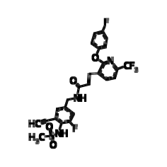 C#Cc1cc(CNC(=O)C=Cc2ccc(C(F)(F)F)nc2Oc2ccc(F)cc2)cc(F)c1NS(C)(=O)=O